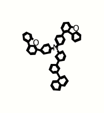 c1cc(-c2cccc(N(c3ccc(-c4cccc5c4oc4ccccc45)cc3)c3ccc(-c4cccc5oc6ccccc6c45)cc3)c2)cc(-c2cccc3ccccc23)c1